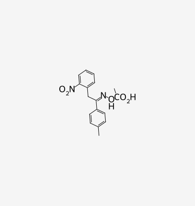 CC(=O)O.Cc1ccc(/C(Cc2ccccc2[N+](=O)[O-])=N\O)cc1